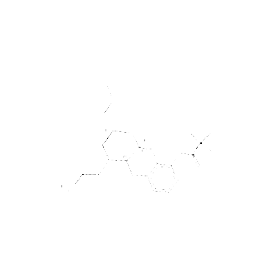 CCCN1C[C@H](CSC)O[C@@H]2Cc3c(cccc3OC(=O)C(F)(F)F)C[C@H]21